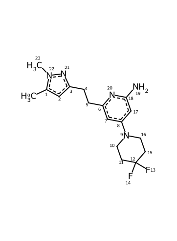 Cc1cc(CCc2cc(N3CCC(F)(F)CC3)cc(N)n2)nn1C